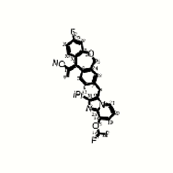 CC(C#N)=C1c2ccc(Cc3c(C(C)C)nc4c(OC(F)F)cccn34)cc2COc2cc(F)ccc21